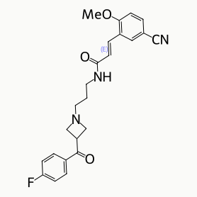 COc1ccc(C#N)cc1/C=C/C(=O)NCCCN1CC(C(=O)c2ccc(F)cc2)C1